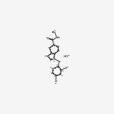 CCC(C)NC(=O)c1ccc2c(c1)ncn2Cc1ncc(Cl)cc1Cl.Cl